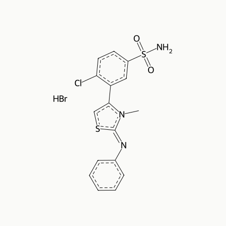 Br.Cn1c(-c2cc(S(N)(=O)=O)ccc2Cl)csc1=Nc1ccccc1